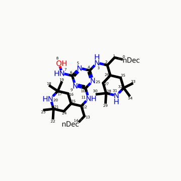 CCCCCCCCCCCC(Nc1nc(NO)nc(NC(CCCCCCCCCCC)C2CC(C)(C)NC(C)(C)C2)n1)C1CC(C)(C)NC(C)(C)C1